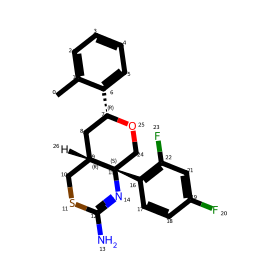 Cc1ccccc1[C@H]1C[C@H]2CSC(N)=N[C@@]2(c2ccc(F)cc2F)CO1